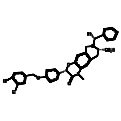 CC[C@H](c1ccccc1)N1Cc2cc3c(cc2C[C@H]1C(=O)O)N(C)C(=O)[C@H](c1ccc(OCc2ccc(Cl)c(Cl)c2)cc1)O3